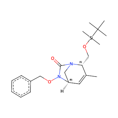 CC1=C[C@@H]2CN(C(=O)N2OCc2ccccc2)[C@@H]1CO[Si](C)(C)C(C)(C)C